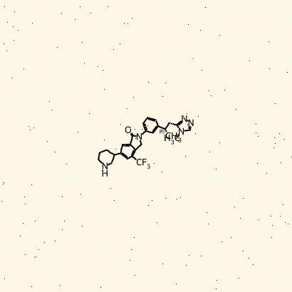 C[C@H](Cc1nncn1C)c1cccc(N2Cc3c(cc(C4CCCNC4)cc3C(F)(F)F)C2=O)c1